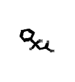 O=C(O)CC(S)(Cl)c1ccccc1